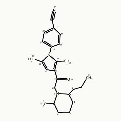 CCCC1CCCC(C)N1CC(=O)c1cc(C)n(-c2ccc(C#N)cc2)c1C